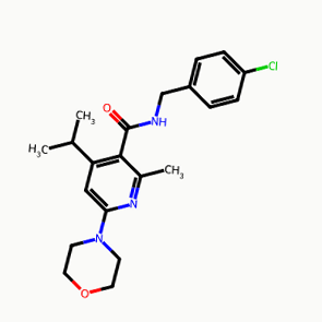 Cc1nc(N2CCOCC2)cc(C(C)C)c1C(=O)NCc1ccc(Cl)cc1